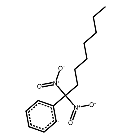 CCCCCCCC(c1[c]cccc1)([N+](=O)[O-])[N+](=O)[O-]